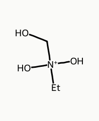 CC[N+](O)(O)CO